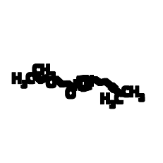 CC(C)C#CCCCN1CCN(C(=O)CCCOCCC(C)C)CC1